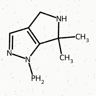 CC1(C)NCc2cnn(P)c21